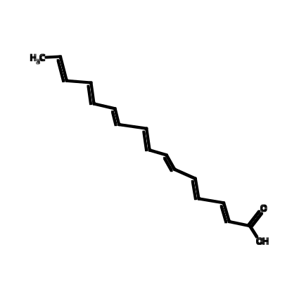 C/C=C/C=C/C=C/C=C/C=C/C=C/C=C/C(=O)O